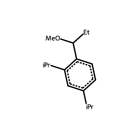 CCC(OC)c1ccc(C(C)C)cc1C(C)C